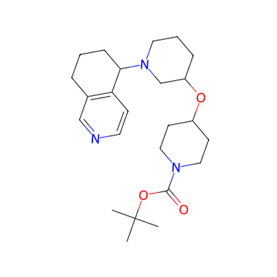 CC(C)(C)OC(=O)N1CCC(OC2CCCN(C3CCCc4cnccc43)C2)CC1